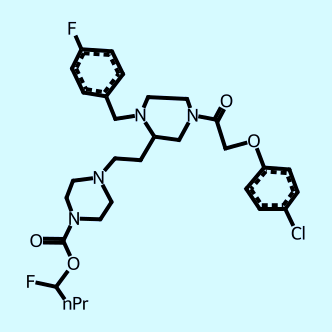 CCCC(F)OC(=O)N1CCN(CCC2CN(C(=O)COc3ccc(Cl)cc3)CCN2Cc2ccc(F)cc2)CC1